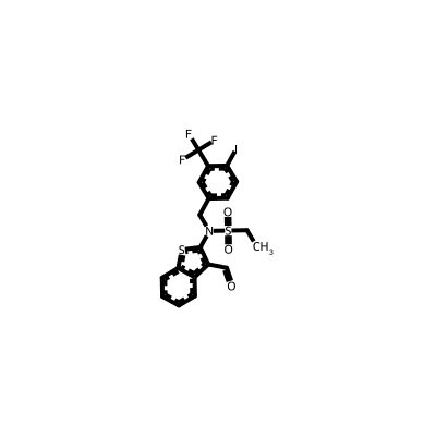 CCS(=O)(=O)N(Cc1ccc(I)c(C(F)(F)F)c1)c1sc2ccccc2c1C=O